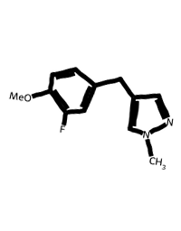 COc1ccc(Cc2cnn(C)c2)cc1F